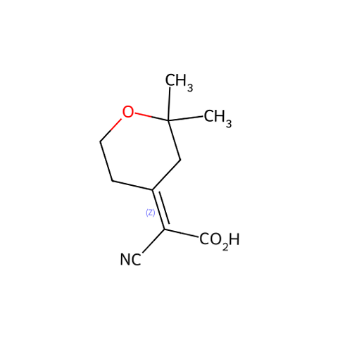 CC1(C)C/C(=C(/C#N)C(=O)O)CCO1